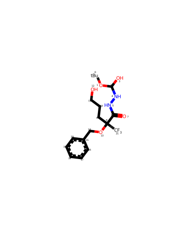 CC(C)(C)OC(O)NNC(=O)C(CCCO)(OCc1ccccc1)C(F)(F)F